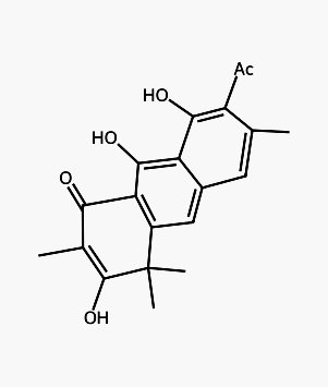 CC(=O)c1c(C)cc2cc3c(c(O)c2c1O)C(=O)C(C)=C(O)C3(C)C